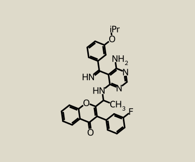 CC(C)Oc1cccc(C(=N)c2c(N)ncnc2NC(C)c2oc3ccccc3c(=O)c2-c2cccc(F)c2)c1